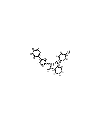 O=C(Nc1nnc(-c2ccccc2)o1)c1ccccc1Oc1ccc(Cl)cc1